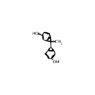 CC1(C2c3ccc(O)cc32)c2ccc(O)cc21